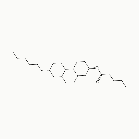 CCCCCC[C@@H]1CCC2C(CCC3C[C@H](OC(=O)CCCC)CCC32)C1